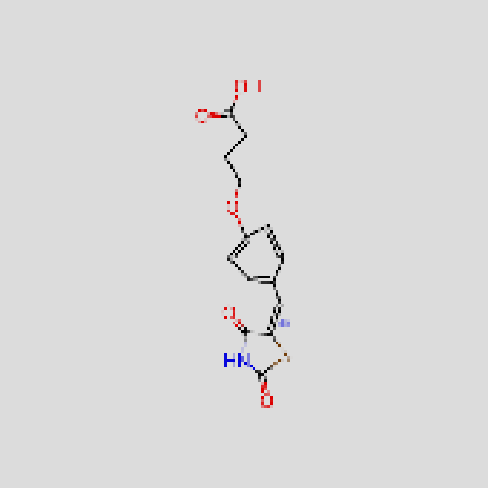 O=C(O)CCCOc1ccc(/C=C2/SC(=O)NC2=O)cc1